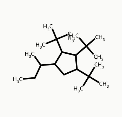 CCC(C)C1CC(C(C)(C)C)C(C(C)(C)C)C1C(C)(C)C